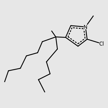 CCCCCCC(C)(CCCCC)c1cc(Cl)n(C)c1